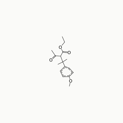 CCOC(=O)C(C(C)=O)C(C)(C)c1ccc(OC)cc1